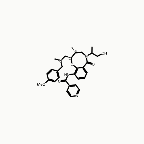 COc1ccc(CN(C)C[C@@H]2Oc3c(NC(=O)c4ccncc4)cccc3C(=O)N(C(C)CO)C[C@H]2C)cc1